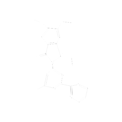 CC[C@H]1c2cc(OC)c(OC)cc2C(=O)N1c1cc(F)nc(-c2ncccn2)n1